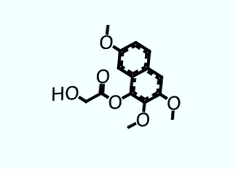 COc1ccc2cc(OC)c(OC)c(OC(=O)CO)c2c1